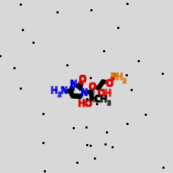 C[C@H](O)[C@@H](OC(O)COP)n1ccc(N)nc1=O